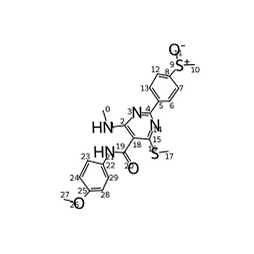 CNc1nc(-c2ccc([S+](C)[O-])cc2)nc(SC)c1C(=O)Nc1ccc(OC)cc1